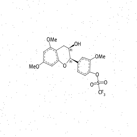 COc1cc(OC)c2c(c1)O[C@H](c1ccc(OS(=O)(=O)C(F)(F)F)c(OC)c1)[C@H](O)C2